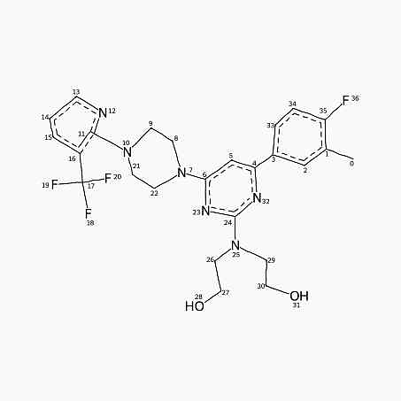 Cc1cc(-c2cc(N3CCN(c4ncccc4C(F)(F)F)CC3)nc(N(CCO)CCO)n2)ccc1F